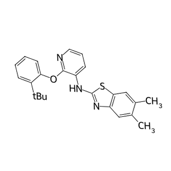 Cc1cc2nc(Nc3cccnc3Oc3ccccc3C(C)(C)C)sc2cc1C